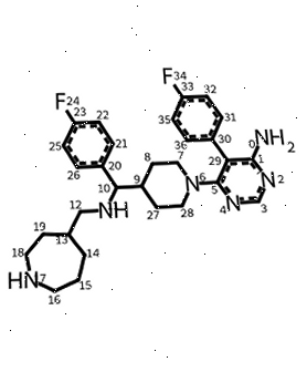 Nc1ncnc(N2CCC(C(NCC3CCCNCC3)c3ccc(F)cc3)CC2)c1-c1ccc(F)cc1